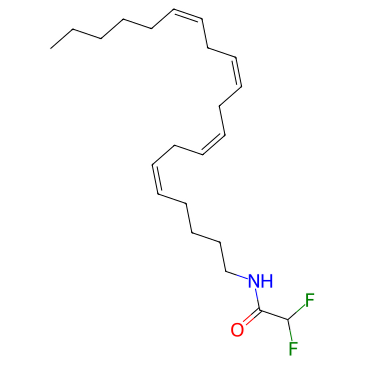 CCCCC/C=C\C/C=C\C/C=C\C/C=C\CCCCNC(=O)C(F)F